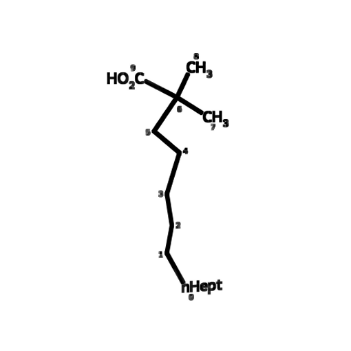 [CH2]CCCCCCCCCCCC(C)(C)C(=O)O